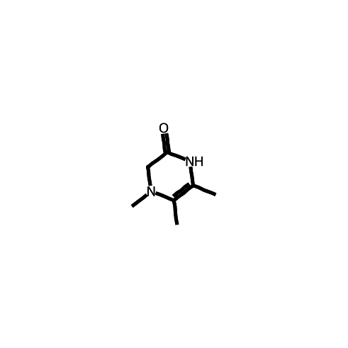 CC1=C(C)N(C)CC(=O)N1